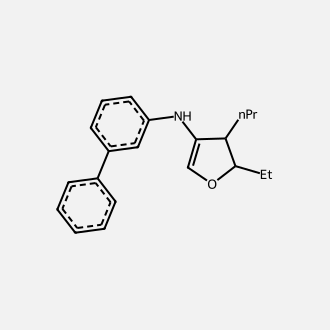 CCCC1C(Nc2cccc(-c3ccccc3)c2)=COC1CC